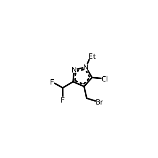 CCn1nc(C(F)F)c(CBr)c1Cl